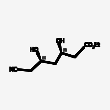 CCOC(=O)C[C@H](O)C[C@H](O)CC#N